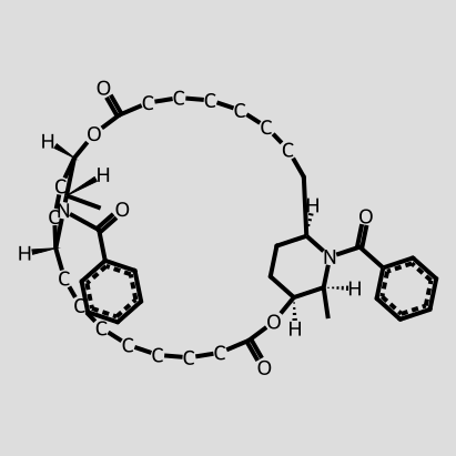 C[C@H]1[C@@H]2CC[C@@H](CCCCCCCC(=O)O[C@H]3CC[C@@H](CCCCCCCC(=O)O2)N(C(=O)c2ccccc2)[C@H]3C)N1C(=O)c1ccccc1